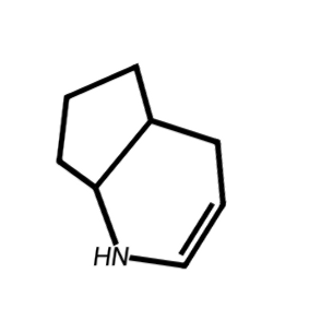 C1=CNC2CCCC2C1